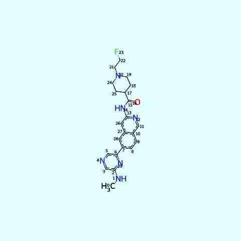 CNc1cncc(-c2ccc3cnc(NC(=O)C4CCN(CCF)CC4)cc3c2)n1